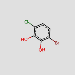 Oc1c(Cl)ccc(Br)c1O